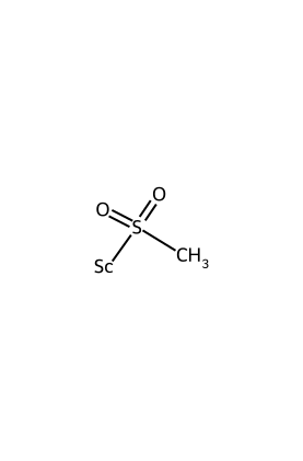 C[S](=O)(=O)[Sc]